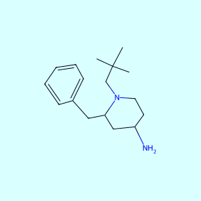 CC(C)(C)CN1CCC(N)CC1Cc1ccccc1